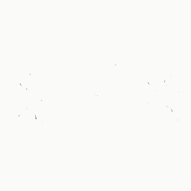 OCCC(CCO)n1c2cc(C#C[C@H]3O[C@H](CO)[C@@H](O)[C@H](O)[C@@H]3O)ccc2c2ccc(C#C[C@H]3O[C@H](CO)[C@@H](O)[C@H](O)[C@@H]3O)cc21